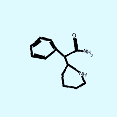 NC(=O)C(c1ccccc1)C1CCCCN1